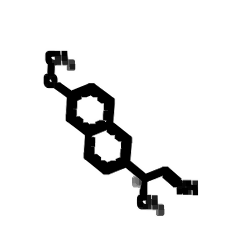 COc1ccc2cc([C@H](C)C=N)ccc2c1